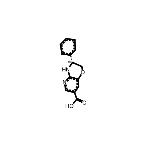 O=C(O)c1cnc2c(c1)OC[C@@H](c1ccccc1)N2